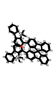 C[Si]1(C)c2ccccc2-c2cccc(-c3ccc4c(c3)C3(c5ccccc5-4)c4ccccc4-c4ccc(-c5cccc6c5[Si](C)(C)c5ccccc5-6)cc43)c21